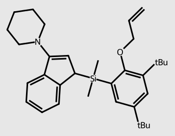 C=CCOc1c(C(C)(C)C)cc(C(C)(C)C)cc1[Si](C)(C)C1C=C(N2CCCCC2)c2ccccc21